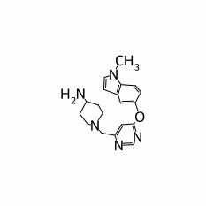 Cn1ccc2cc(Oc3cc(CN4CCC(N)CC4)ncn3)ccc21